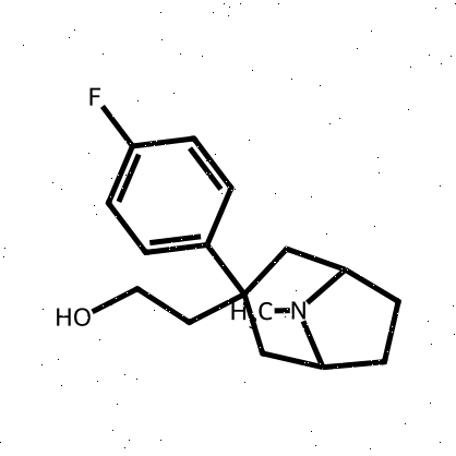 CN1C2CCC1CC(CCO)(c1ccc(F)cc1)C2